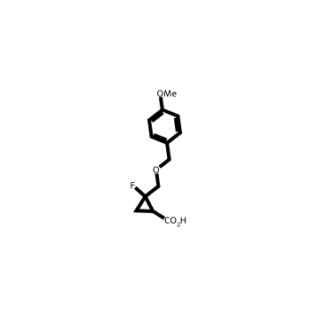 COc1ccc(COCC2(F)CC2C(=O)O)cc1